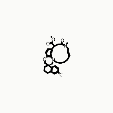 COC(=O)C1CC(=O)N(C)C/C=C/CCCCN2C[C@@]3(CCCc4cc(Cl)ccc43)COc3ccc1cc32